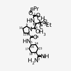 CCCOC(=O)N[C@@H](C(=O)N1CCC[C@H]1C(=O)N[C@H]1CC[C@H](C(=N)N)CC1)C(C)(C)SCC